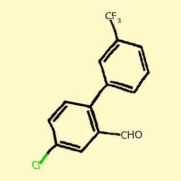 O=Cc1cc(Cl)ccc1-c1cccc(C(F)(F)F)c1